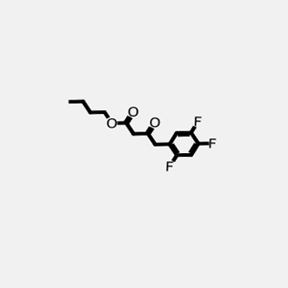 CCCCOC(=O)CC(=O)Cc1cc(F)c(F)cc1F